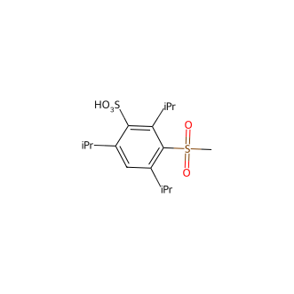 CC(C)c1cc(C(C)C)c(S(=O)(=O)O)c(C(C)C)c1S(C)(=O)=O